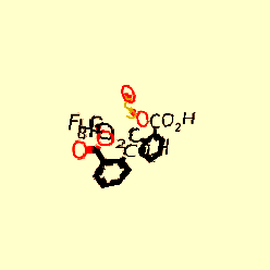 O=C(O)c1ccccc1C(=O)O.O=C(O)c1ccccc1C(=O)OC(F)(F)F.O=S=O